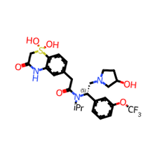 CC(C)N(C(=O)Cc1ccc2c(c1)NC(=O)CS2(O)O)[C@H](CN1CCC(O)C1)c1cccc(OC(F)(F)F)c1